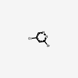 C[CH]c1cnnc(Br)c1